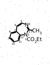 CCOC(=O)N1C(C)=NC=Cc2ccccc21